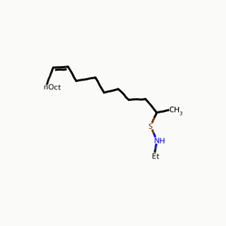 CCCCCCCC/C=C\CCCCCCC(C)SNCC